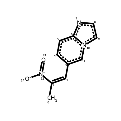 CC(=Cc1ccc2nccn2c1)[N+](=O)[O-]